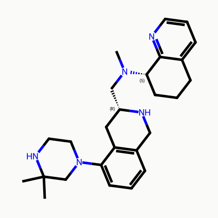 CN(C[C@H]1Cc2c(cccc2N2CCNC(C)(C)C2)CN1)[C@H]1CCCc2cccnc21